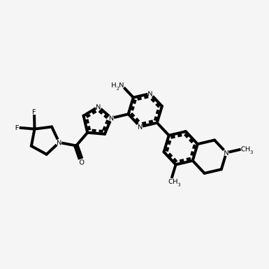 Cc1cc(-c2cnc(N)c(-n3cc(C(=O)N4CCC(F)(F)C4)cn3)n2)cc2c1CCN(C)C2